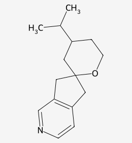 CC(C)C1CCOC2(Cc3ccncc3C2)C1